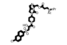 CCCN(CCC(=O)OCc1ncc2n1C(=O)N(C1CCN(C(=O)[C@H](O)CS(=O)(=O)c3ccc4cc(Cl)ccc4c3)CC1)C2)C(C)=O